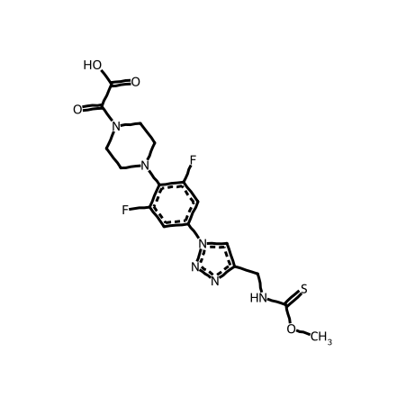 COC(=S)NCc1cn(-c2cc(F)c(N3CCN(C(=O)C(=O)O)CC3)c(F)c2)nn1